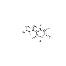 C=C(NC(C)C(C)(C)C)c1c(F)c(F)c(C)c(F)c1F